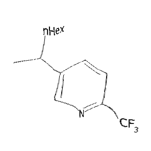 CCCCCCC(C)c1ccc(C(F)(F)F)nc1